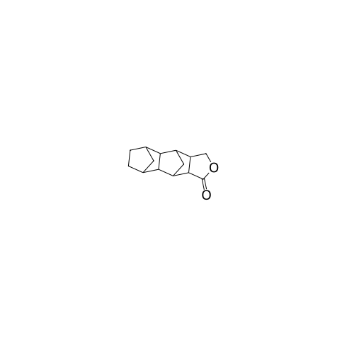 O=C1OCC2C3CC(C12)C1C2CCC(C2)C31